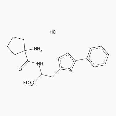 CCOC(=O)C(Cc1ccc(-c2ccccc2)s1)NC(=O)C1(N)CCCC1.Cl